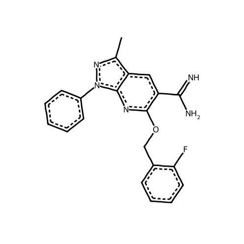 Cc1nn(-c2ccccc2)c2nc(OCc3ccccc3F)c(C(=N)N)cc12